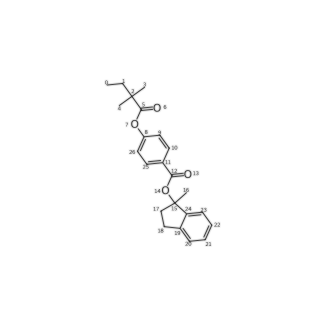 CCC(C)(C)C(=O)Oc1ccc(C(=O)OC2(C)CCc3ccccc32)cc1